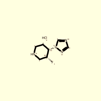 Cl.F[C@@H]1CNCC[C@@H]1n1cncn1